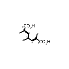 CC(=CC(C)C=C(C)C(=O)O)C(=O)O